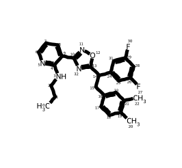 CCCNc1ncccc1-c1noc(C(Cc2ccc(C)c(C)c2)c2cc(F)cc(F)c2)n1